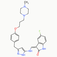 CN1CCN(CCCOc2ccc(Cc3cc(NC=C4C(=O)Nc5ccc(F)cc54)[nH]n3)cc2)CC1